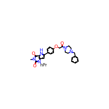 CCCn1c(=O)n(C)c(=O)c2[nH]c(-c3ccc(OCC(=O)N4CCN(Cc5ccccc5)CC4)cc3)cc21